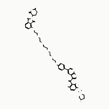 O=C1CCC(N2C(=O)c3cccc(OCCOCCOCCOCCOCCOc4ccc(-c5cnc6[nH]cc(C(=O)c7c(F)ccc(NS(=O)(=O)N8CC[C@@H](F)C8)c7F)c6c5)cc4)c3C2=O)C(=O)N1